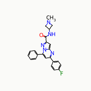 CN1CC(NC(=O)c2cc3nc(-c4ccc(F)cc4)cc(-c4ccccc4)n3n2)C1